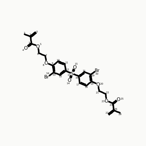 C=C(C)C(=O)OCCOc1ccc(S(=O)(=O)c2ccc(OCCOC(=O)C(=C)C)c(Br)c2)cc1Br